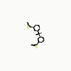 CC1SC1C1CCCC(C(C)(C)C2CCCC(C3SC3C)C2)C1